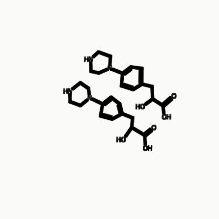 O=C(O)C(O)Cc1ccc(N2CCNCC2)cc1.O=C(O)C(O)Cc1ccc(N2CCNCC2)cc1